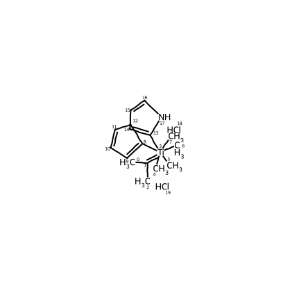 C[C](C)=[Ti]([CH3])([CH3])([CH3])([CH3])([C]1=CC=CC1)[c]1ccc[nH]1.Cl.Cl